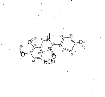 COc1ccc(C2NCc3c(ccc(OC)c3OC)C2=O)cc1.Cl